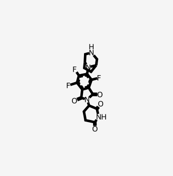 O=C1CCC(N2C(=O)c3c(F)c(F)c(N4C5CCC4CNC5)c(F)c3C2=O)C(=O)N1